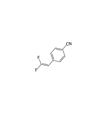 N#Cc1ccc(C=C(F)F)cc1